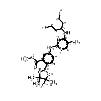 COC(=O)c1cc(Nc2ncc(C)c(NC(CCF)CCF)n2)ccc1B1OC(C)(C)C(C)(C)O1